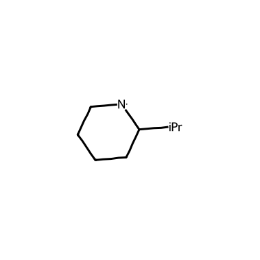 CC(C)C1CCCC[N]1